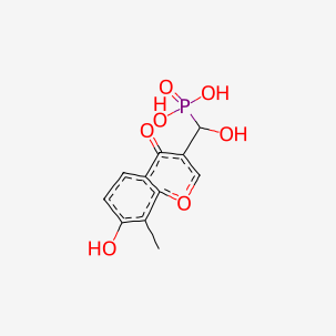 Cc1c(O)ccc2c(=O)c(C(O)P(=O)(O)O)coc12